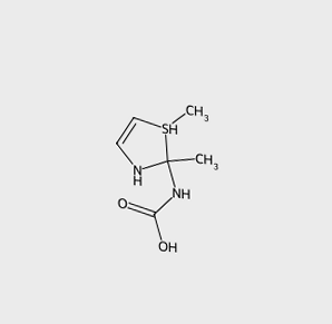 C[SH]1C=CNC1(C)NC(=O)O